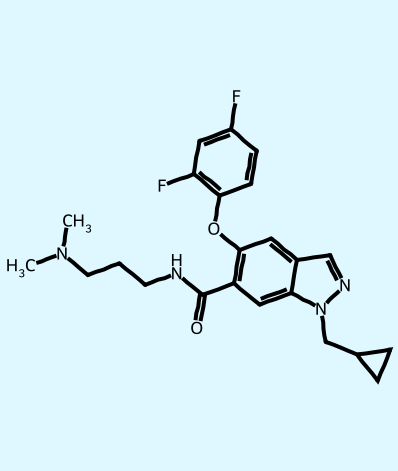 CN(C)CCCNC(=O)c1cc2c(cnn2CC2CC2)cc1Oc1ccc(F)cc1F